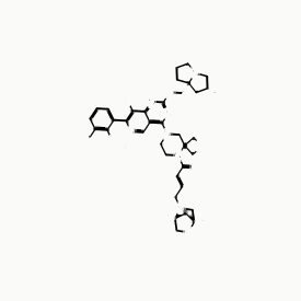 O=C(/C=C/CN1C[C@@H]2C[C@H]1CO2)N1CCN(c2nc(OC[C@@]34CCCN3C[C@H](F)C4)nc3c(F)c(-c4cccc(Cl)c4C(F)(F)F)ncc23)CC12COC2